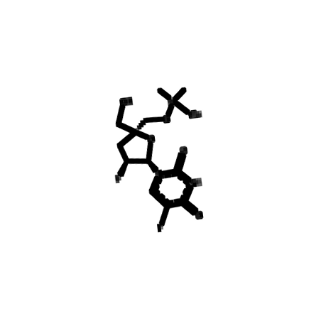 CC(C)(C)[Si](C)(C)OC[C@@]1(CO)C[C@H](F)[C@H](n2cc(F)c(=O)[nH]c2=O)O1